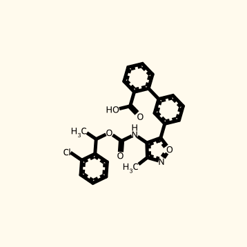 Cc1noc(-c2cccc(-c3ccccc3C(=O)O)c2)c1NC(=O)OC(C)c1ccccc1Cl